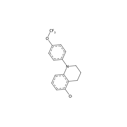 [O]c1cccc2c1CCCN2c1ccc(OC(F)(F)F)cc1